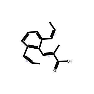 C/C=C\c1cccc(/C=C\C)c1/C=C(\C)C(=O)O